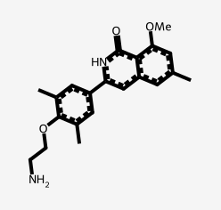 COc1cc(C)cc2cc(-c3cc(C)c(OCCN)c(C)c3)[nH]c(=O)c12